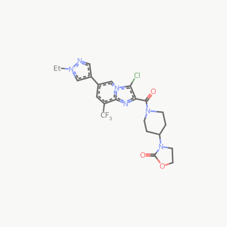 CCn1cc(-c2cc(C(F)(F)F)c3nc(C(=O)N4CCC(N5CCOC5=O)CC4)c(Cl)n3c2)cn1